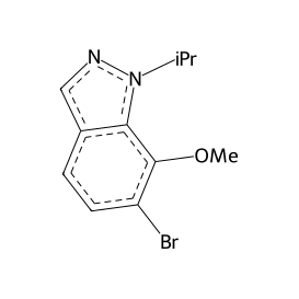 COc1c(Br)ccc2cnn(C(C)C)c12